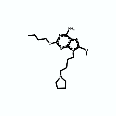 CCCCOc1nc(N)c2nc(OC)n(CCCCN3CCCC3)c2n1